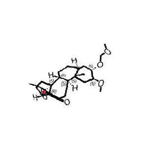 COCO[C@H]1C[C@@H]2CC[C@@H]3[C@H](CC[C@]45C(=O)OC[C@H]4CC[C@@H]35)[C@@]2(C)C[C@@H]1OC